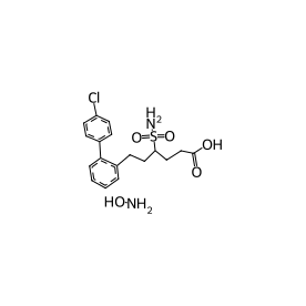 NO.NS(=O)(=O)C(CCC(=O)O)CCc1ccccc1-c1ccc(Cl)cc1